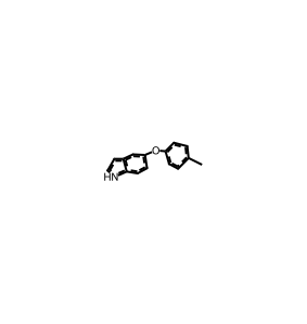 Cc1ccc(Oc2ccc3[nH]ccc3c2)cc1